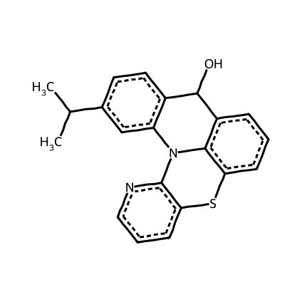 CC(C)c1ccc2c(c1)N1c3ncccc3Sc3cccc(c31)C2O